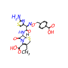 CCC1=C(C(=O)O)N2C(=O)[C@@H](NC(=O)/C(=N\OCc3ccc(C(=O)O)cc3)c3csc(N)n3)[C@H]2SC1